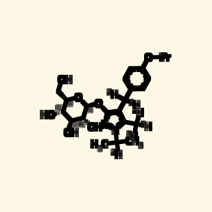 [2H]C([2H])([2H])c1c(C([2H])([2H])c2ccc(OC(C)C)cc2)c(O[C@@H]2O[C@H](CO)[C@@H](O)[C@H](O)[C@H]2O)nn1C([2H])(C)C